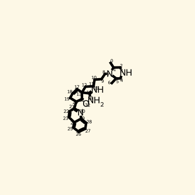 CC1CNCC(C)N1CCCCCC1(C(=N)N)C=CCC(c2ccc3ccccc3n2)C1=O